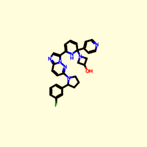 OC1CN(C2(c3ccncc3)C=CC=C(c3cnc4ccc(N5CCCC5c5cccc(F)c5)nn34)N2)C1